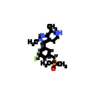 CC1NCCc2c1nn(C)c2-c1cc(F)cc(CP(C)(C)=O)c1